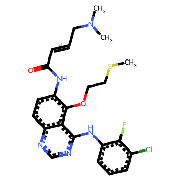 CSCCOc1c(NC(=O)/C=C/CN(C)C)ccc2ncnc(Nc3cccc(Cl)c3F)c12